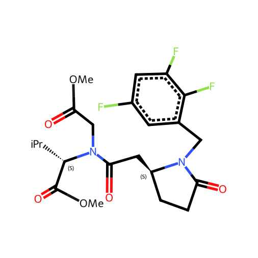 COC(=O)CN(C(=O)C[C@@H]1CCC(=O)N1Cc1cc(F)cc(F)c1F)[C@H](C(=O)OC)C(C)C